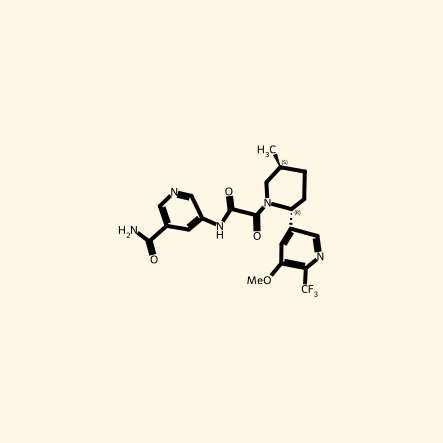 COc1cc([C@H]2CC[C@H](C)CN2C(=O)C(=O)Nc2cncc(C(N)=O)c2)cnc1C(F)(F)F